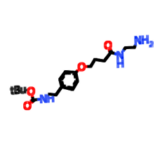 CC(C)(C)OC(=O)NCCc1ccc(OCCCC(=O)NCCN)cc1